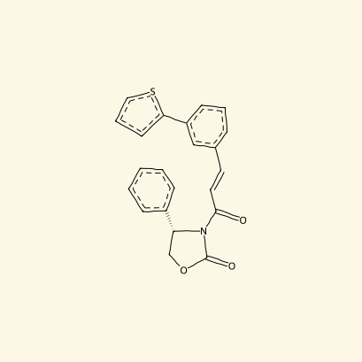 O=C(/C=C/c1cccc(-c2cccs2)c1)N1C(=O)OC[C@@H]1c1ccccc1